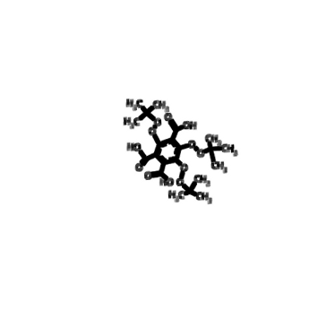 CC(C)(C)OOc1c(OOC(C)(C)C)c(C(=O)O)c(C(=O)O)c(OOC(C)(C)C)c1C(=O)O